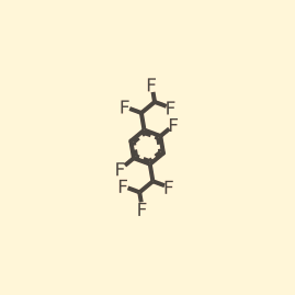 Fc1cc(C(F)C(F)F)c(F)cc1C(F)C(F)F